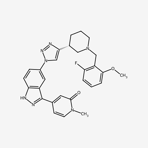 COc1cccc(F)c1CN1CCC[C@@H](c2cn(-c3ccc4[nH]nc(-c5ccn(C)c(=O)c5)c4c3)nn2)C1